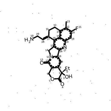 CC[C@@]1(O)C(=O)OCc2c1cc1n(c2=O)Cc2c-1nc1cc(F)c(C)c3c1c2/C(=C/CN)CC3